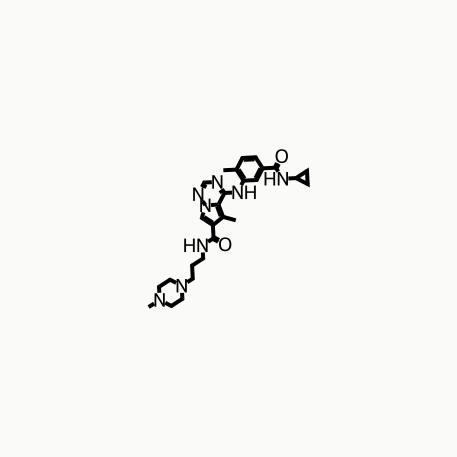 Cc1ccc(C(=O)NC2CC2)cc1Nc1ncnn2cc(C(=O)NCCCN3CCN(C)CC3)c(C)c12